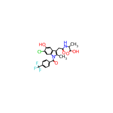 Cc1c(CC(=O)NC(C)C(=O)O)c2cc(O)c(Cl)cc2n1C(=O)c1ccc(C(F)(F)F)cc1